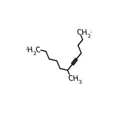 [CH2]CCCC#CC(C)CCCC[CH2]